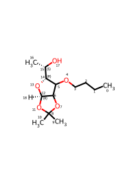 CCCCOC1C2OC(C)(C)O[C@H]2O[C@@H]1[C@H](C)O